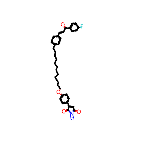 O=C1C=C(c2ccc(OCCCCCCCCCCCCc3ccc(C=CC(=O)c4ccc(F)cc4)cc3)cc2)C(=O)N1